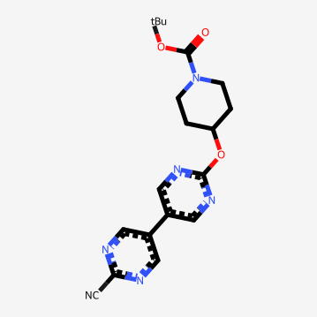 CC(C)(C)OC(=O)N1CCC(Oc2ncc(-c3cnc(C#N)nc3)cn2)CC1